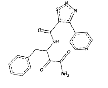 NC(=O)C(=O)C(Cc1ccccc1)NC(=O)c1snnc1-c1ccncc1